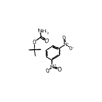 CC(C)(C)OC(N)=O.O=[N+]([O-])c1cccc([N+](=O)[O-])c1